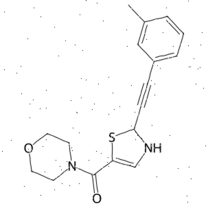 Cc1cccc(C#CC2NC=C(C(=O)N3CCOCC3)S2)c1